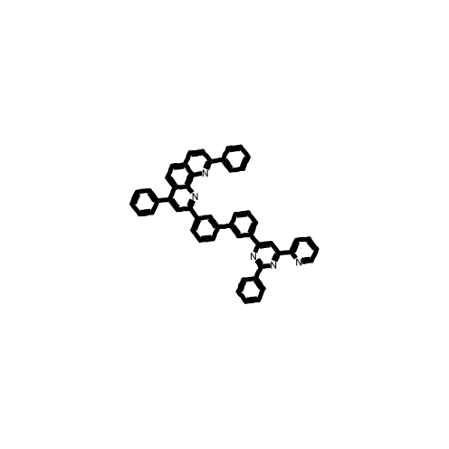 c1ccc(-c2ccc3ccc4c(-c5ccccc5)cc(-c5cccc(-c6cccc(-c7cc(-c8ccccn8)nc(-c8ccccc8)n7)c6)c5)nc4c3n2)cc1